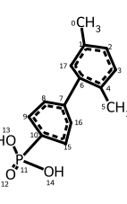 Cc1ccc(C)c(-c2ccc(P(=O)(O)O)cc2)c1